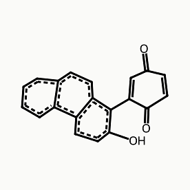 O=C1C=CC(=O)C(c2c(O)ccc3c2ccc2ccccc23)=C1